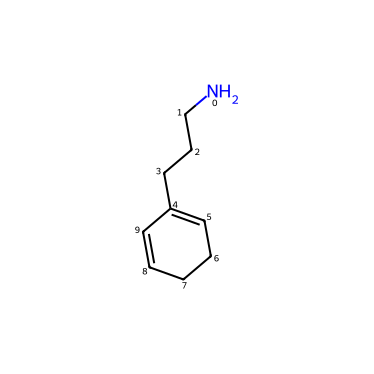 NCCCC1=CCCC=C1